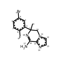 CC1(c2cc(Br)ccc2F)Cn2ccnc2C(N)=N1